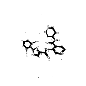 O=C(Nc1cnccc1C(=O)NC1CCOCC1)c1csc(-c2c(F)cccc2F)n1